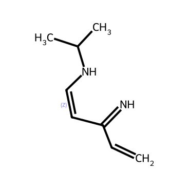 C=CC(=N)/C=C\NC(C)C